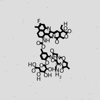 CC[C@@]1(O)C(=O)OCc2c1cc1n(c2=O)Cc2c-1nc1cc(F)c(C)c3c1c2[C@@H](NC(=O)OCc1ccc(O[C@H]2OC(C(=O)O)[C@@H](O)C(O)C2O)c(NC(=O)CN(C)C(=O)[C@H](CN)N2C(=O)CC(C)C2=O)c1)CC3